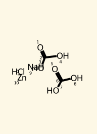 Cl.O=C(O)O.O=C(O)O.[NaH].[Zn]